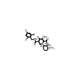 C[C@H]1CCC[C@@H]2[C@@H]1NC(=O)c1c(O)c(=O)c(C(=O)NCc3c(F)cc(F)cc3F)cn12